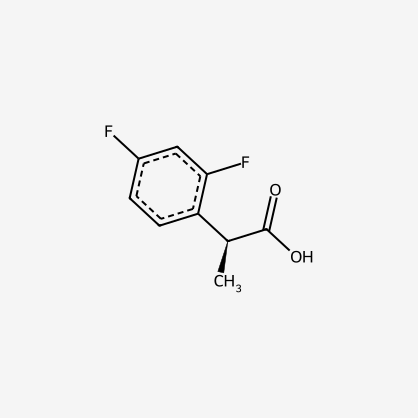 C[C@H](C(=O)O)c1ccc(F)cc1F